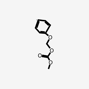 COC(=O)OCOc1cc[c]cc1